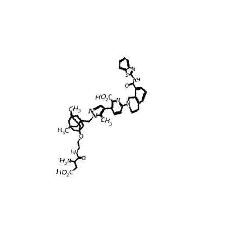 Cc1c(-c2ccc(N3CCc4cccc(C(=O)Nc5nc6ccccc6s5)c4C3)nc2C(=O)O)cnn1CC12CC3(C)CC(C)(C1)CC(OCCNC(=O)C(N)CC(=O)O)(C3)C2